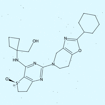 [O-][S@+]1CCc2nc(N3CCc4oc(C5CCCCC5)nc4C3)nc(NC3(CO)CCC3)c21